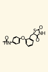 CC(=O)Nc1ccc(Oc2ccccc2CC2SC(=O)NC2=O)cc1